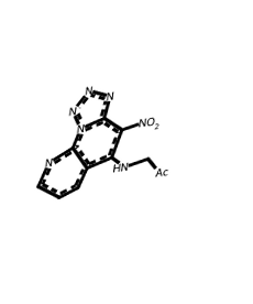 CC(=O)CNc1c([N+](=O)[O-])c2nnnn2c2ncccc12